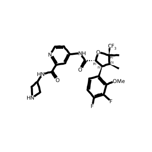 COc1c([C@H]2[C@H](C(=O)Nc3ccnc(C(=O)NC4CNC4)c3)O[C@@](C)(C(F)(F)F)[C@H]2C)ccc(F)c1F